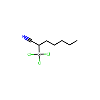 CCCCCC(C#N)[Si](Cl)(Cl)Cl